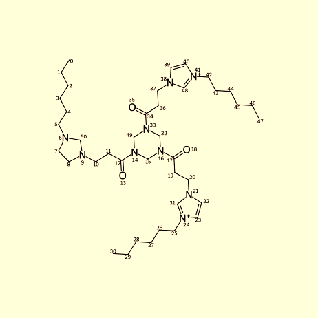 CCCCCCN1CCN(CCC(=O)N2CN(C(=O)CCn3cc[n+](CCCCCC)c3)CN(C(=O)CCn3cc[n+](CCCCCC)c3)C2)C1